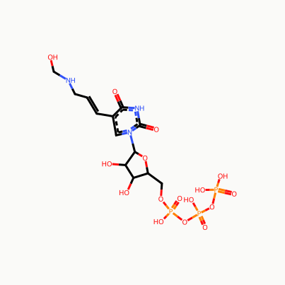 O=c1[nH]c(=O)n(C2OC(COP(=O)(O)OP(=O)(O)OP(=O)(O)O)C(O)C2O)cc1/C=C/CNCO